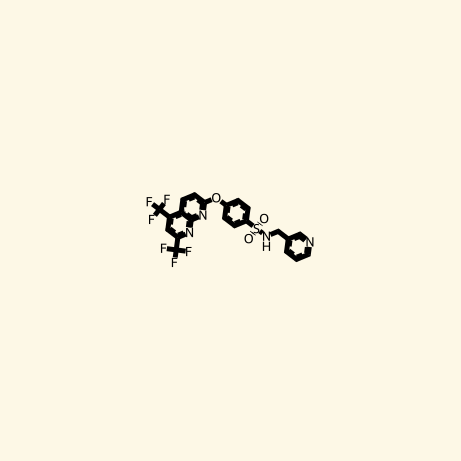 O=S(=O)(NCc1cccnc1)c1ccc(Oc2ccc3c(C(F)(F)F)cc(C(F)(F)F)nc3n2)cc1